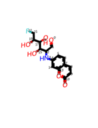 O=CC(Nc1ccc2ccc(=O)oc2c1)C(O)C(O)C(O)CF